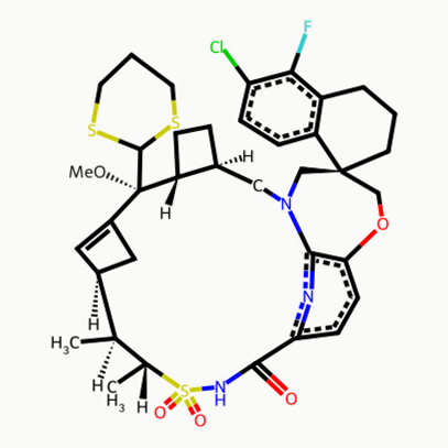 CO[C@@]1(C2SCCCS2)C2=C[C@@H](C2)[C@H](C)[C@@H](C)S(=O)(=O)NC(=O)c2ccc3c(n2)N(C[C@@H]2CC[C@H]21)C[C@@]1(CCCc2c1ccc(Cl)c2F)CO3